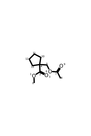 COC(=O)C1(COC(C)=O)CCCC1